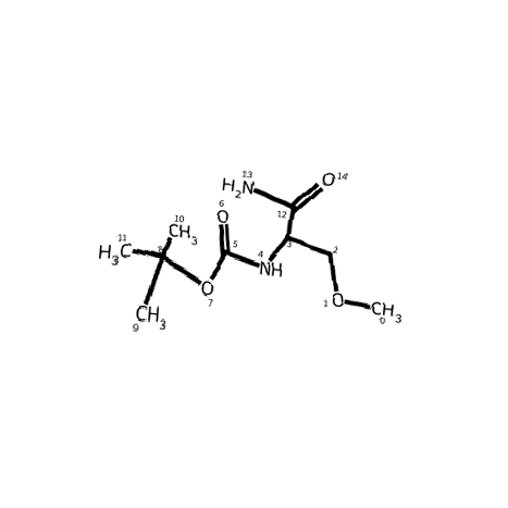 COCC(NC(=O)OC(C)(C)C)C(N)=O